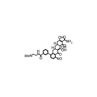 CNCCNC(=O)c1cccc(-c2ccc(N=O)c3c2C[C@H]2C[C@H]4CC(O)=C(C(N)=O)C(=O)[C@@]4(O)C(O)=C2C3=O)c1